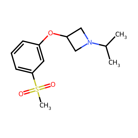 CC(C)N1CC(Oc2cccc(S(C)(=O)=O)c2)C1